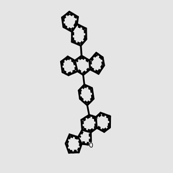 c1ccc2cc(-c3c4ccccc4c(-c4ccc(-c5cc6c7ccccc7oc6c6ccccc56)cc4)c4ccccc34)ccc2c1